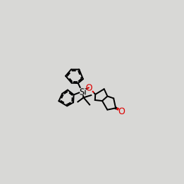 CC(C)(C)[Si](OC1CC2CC(=O)CC2C1)(c1ccccc1)c1ccccc1